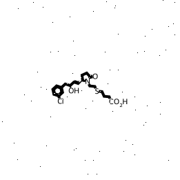 O=C(O)CCCSCCN1C(=O)CC[C@@H]1C=C[C@@H](O)Cc1cccc(Cl)c1